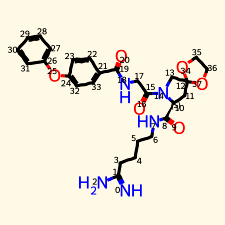 N=C(N)CCCCNC(=O)[C@@H]1CC2(CN1C(=O)CNC(=O)c1ccc(Oc3ccccc3)cc1)OCCO2